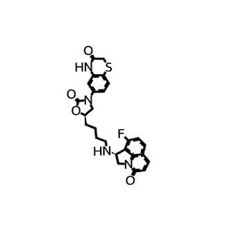 O=C1CSc2ccc(N3C[C@@H](CCCCN[C@H]4Cn5c(=O)ccc6ccc(F)c4c65)OC3=O)cc2N1